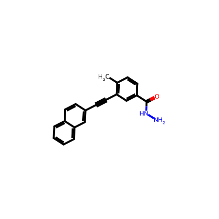 Cc1ccc(C(=O)NN)cc1C#Cc1ccc2ccccc2c1